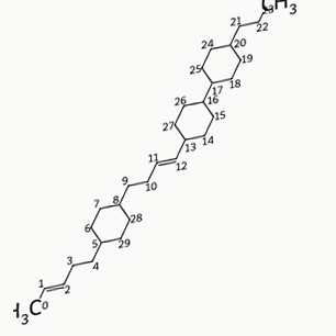 CC=CCCC1CCC(CCC=CC2CCC(C3CCC(CCC)CC3)CC2)CC1